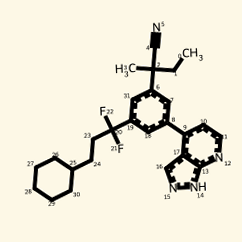 CCC(C)(C#N)c1cc(-c2ccnc3[nH]ncc23)cc(C(F)(F)CCC2CCCCC2)c1